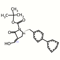 CC(C)(C)OC(=O)N1C(=O)/C(=C\O)C[C@H]1Cc1ccc(-c2ccccc2)cc1